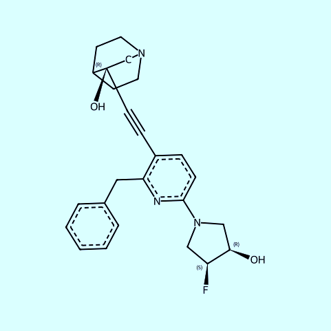 O[C@@H]1CN(c2ccc(C#C[C@@]3(O)CN4CCC3CC4)c(Cc3ccccc3)n2)C[C@@H]1F